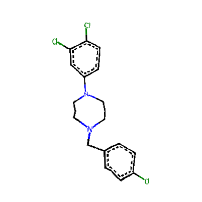 Clc1ccc(CN2CCN(c3ccc(Cl)c(Cl)c3)CC2)cc1